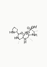 C[C@H](NC(=O)[C@H](C)NC(=O)[C@@H]1CCCN1)C(=O)N[C@@H](C)P(=O)(O)O